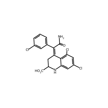 NC(=O)/C(=C1/CC(C(=O)O)Nc2cc(Cl)cc(Cl)c21)c1cccc(Cl)c1